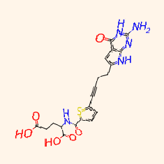 Nc1nc2[nH]c(CCC#Cc3ccc(C(=O)NC(CCC(=O)O)C(=O)O)s3)cc2c(=O)[nH]1